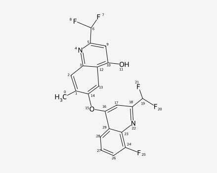 Cc1cc2nc(C(F)F)cc(O)c2cc1Oc1cc(C(F)F)nc2c(F)cccc12